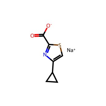 O=C([O-])c1nc(C2CC2)cs1.[Na+]